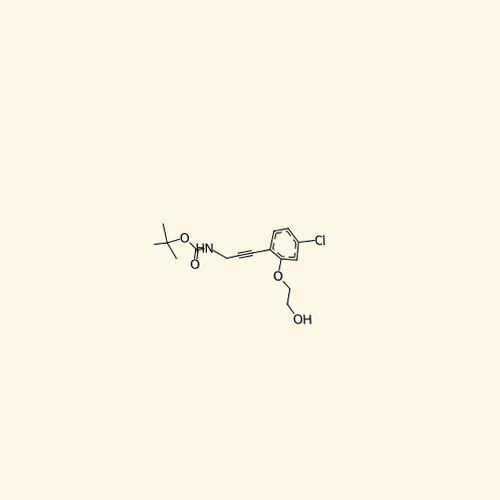 CC(C)(C)OC(=O)NCC#Cc1ccc(Cl)cc1OCCO